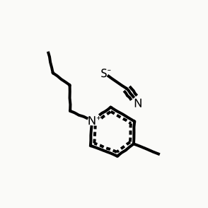 CCCC[n+]1ccc(C)cc1.N#C[S-]